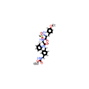 CCOc1ccc(C[C@@H](NS(C)(=O)=O)C(=O)N[C@@H](Cc2ccccc2)C(=O)NCc2ccc(CNC(=O)OC(C)(C)C)cc2)cc1